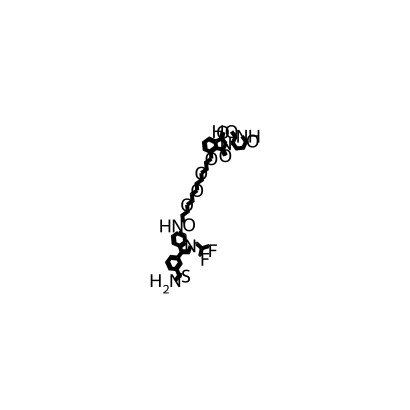 NC(=S)c1cccc(-c2cn(CC(CF)CF)c3cc(NC(=O)CCOCCOCCOCCOc4cccc5c4C(=O)N(C4CCC(=O)NC4O)C5=O)ccc23)c1